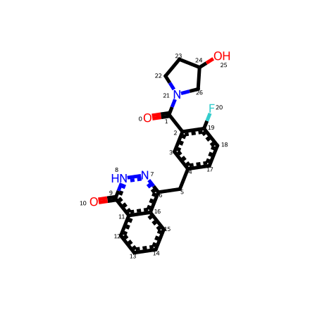 O=C(c1cc(Cc2n[nH]c(=O)c3ccccc23)ccc1F)N1CCC(O)C1